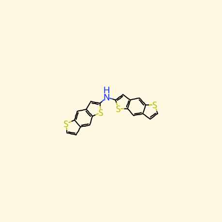 c1cc2cc3sc(Nc4cc5cc6sccc6cc5s4)cc3cc2s1